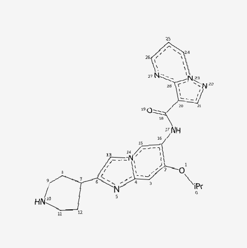 CC(C)Oc1cc2nc(C3CCNCC3)cn2cc1NC(=O)c1cnn2cccnc12